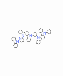 c1ccc(-n2c3ccccc3c3c2ccc2c4ccccc4n(-c4cccc(-n5c6ccccc6c6c5ccc5c7ccccc7n(-c7cccc(-n8c9ccccc9c9ccccc98)n7)c56)c4)c23)cc1